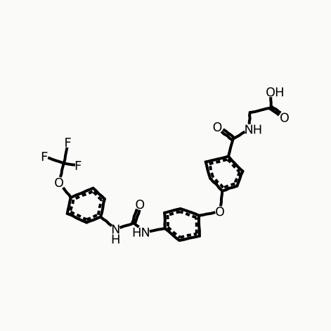 O=C(O)CNC(=O)c1ccc(Oc2ccc(NC(=O)Nc3ccc(OC(F)(F)F)cc3)cc2)cc1